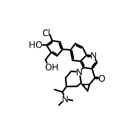 CC(C1CCN(c2c(C(=O)C3CC3)cnc3ccc(-c4cc(Cl)c(O)c(CO)c4)cc23)CC1)N(C)C